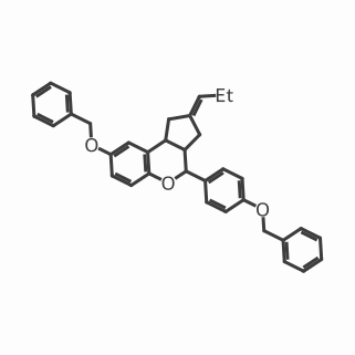 CCC=C1CC2c3cc(OCc4ccccc4)ccc3OC(c3ccc(OCc4ccccc4)cc3)C2C1